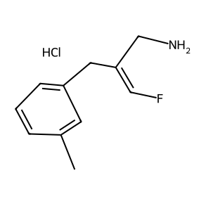 Cc1cccc(CC(=CF)CN)c1.Cl